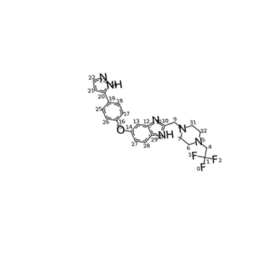 FC(F)(F)CN1CCN(Cc2nc3cc(Oc4ccc(-c5ccn[nH]5)cc4)ccc3[nH]2)CC1